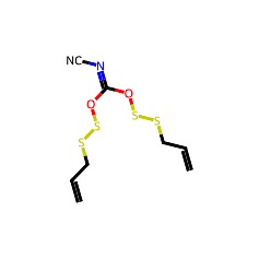 C=CCSSOC(=NC#N)OSSCC=C